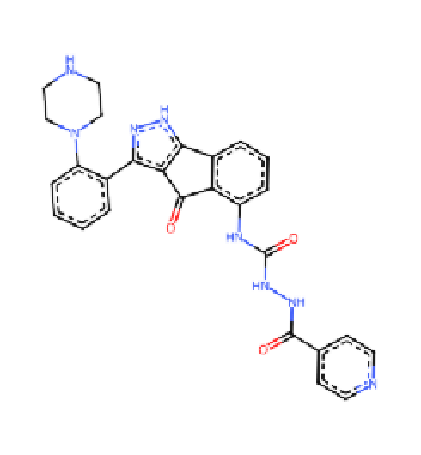 O=C(NNC(=O)c1ccncc1)Nc1cccc2c1C(=O)c1c(-c3ccccc3N3CCNCC3)n[nH]c1-2